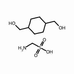 NCS(=O)(=O)O.OCC1CCC(CO)CC1